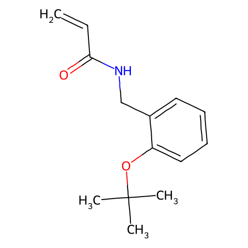 C=CC(=O)NCc1ccccc1OC(C)(C)C